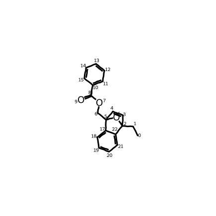 CCC12C=CC(COC(=O)c3ccccc3)(O1)c1ccccc12